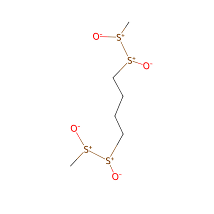 C[S+]([O-])[S+]([O-])CCCC[S+]([O-])[S+](C)[O-]